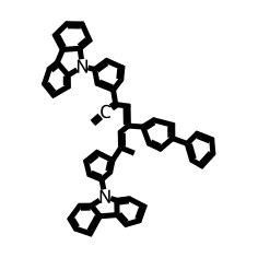 C=C=C(/C=C(\C=C(/C)c1cccc(-n2c3ccccc3c3ccccc32)c1)c1ccc(-c2ccccc2)cc1)c1cccc(-n2c3ccccc3c3ccccc32)c1